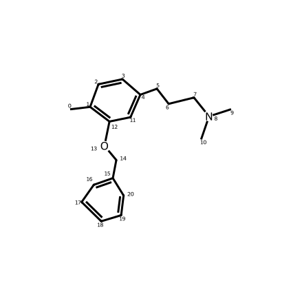 Cc1ccc(CCCN(C)C)cc1OCc1ccccc1